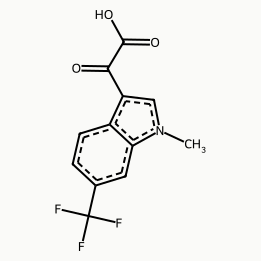 Cn1cc(C(=O)C(=O)O)c2ccc(C(F)(F)F)cc21